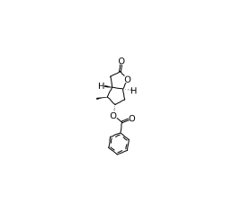 C[C@H]1[C@@H]2CC(=O)O[C@H]2C[C@@H]1OC(=O)c1ccccc1